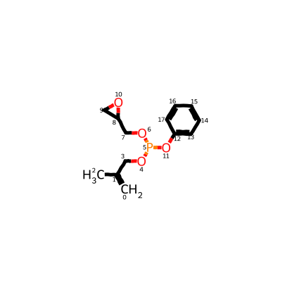 C=C(C)COP(OCC1CO1)Oc1ccccc1